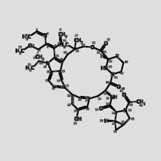 C=C/C(=C(\N=C/C)[C@H](C)OC)c1c2c3cc(ccc3n1CC)-c1cc(O)cc(c1)C[C@H](NC(=O)[C@@H]1[C@H]3CC3CN1C(C)=O)C(=O)N1CCC[C@H](N1)C(=O)OCC(C)(C)C2